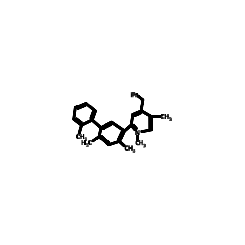 Cc1c[n+](C)c(-c2cc(-c3ccccc3C)c(C)cc2C)cc1CC(C)C